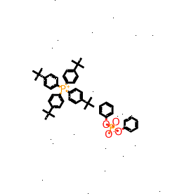 CC(C)(C)c1ccc([P+](c2ccc(C(C)(C)C)cc2)(c2ccc(C(C)(C)C)cc2)c2ccc(C(C)(C)C)cc2)cc1.O=P([O-])(Oc1ccccc1)Oc1ccccc1